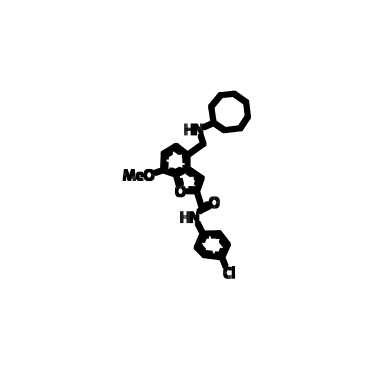 COc1ccc(CNC2CCCCCCC2)c2cc(C(=O)Nc3ccc(Cl)cc3)oc12